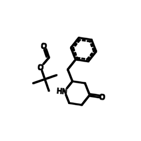 CC(C)(C)OC=O.O=C1CCNC(Cc2ccccc2)C1